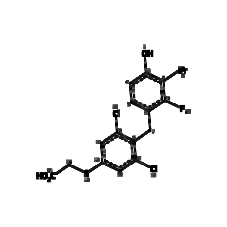 CC(C)c1c(O)ccc(Cc2c(Cl)cc(SCC(=O)O)cc2Cl)c1F